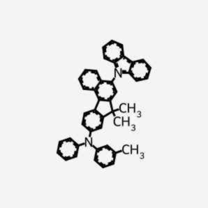 Cc1cccc(N(c2ccccc2)c2ccc3c(c2)C(C)(C)c2cc(-n4c5ccccc5c5ccccc54)c4ccccc4c2-3)c1